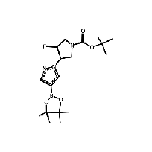 CC(C)(C)OC(=O)N1CC(F)C(n2cc(B3OC(C)(C)C(C)(C)O3)cn2)C1